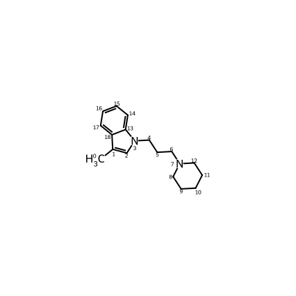 Cc1cn(CCCN2CCCCC2)c2ccccc12